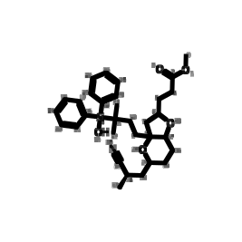 COC(=O)CCC1CC2(CCC(C)(C)[Si](O)(c3ccccc3)c3ccccc3)OC(C[C@@H](C)C#N)CCC2O1